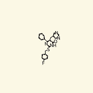 O=c1[nH]c(SCc2ccc(F)cc2)nc(-c2ccccc2)c1Cc1cncnc1